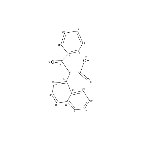 O=C(O)C(C(=O)c1ccccc1)c1cccc2ccccc12